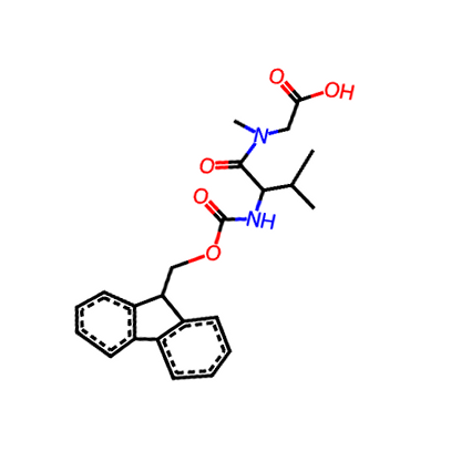 CC(C)C(NC(=O)OCC1c2ccccc2-c2ccccc21)C(=O)N(C)CC(=O)O